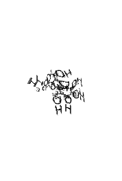 CCC1(O)OC[C@@H](O)C(O[C@@H]2CC(CO)[C@H](O)C(O)[C@@H]2O)[C@H]1O